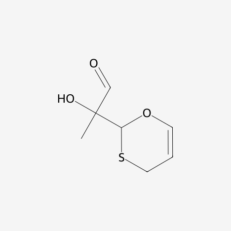 CC(O)(C=O)C1OC=CCS1